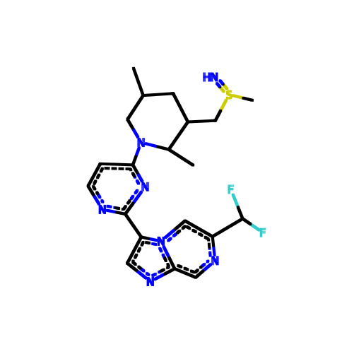 CC1CC(CS(C)=N)C(C)N(c2ccnc(-c3cnc4cnc(C(F)F)cn34)n2)C1